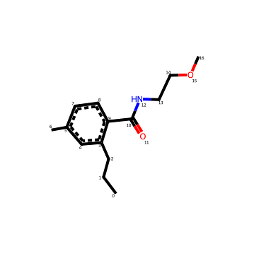 CCCc1cc(C)ccc1C(=O)NCCOC